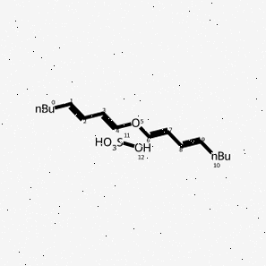 CCCCC=CC=COC=CC=CCCCC.O=S(=O)(O)O